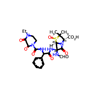 CCN1CCN(C(=O)NC(C(=O)N[C@]2(NC=O)C(=O)N3[C@@H](C(=O)O)C(C)(C)[S+]([O-])[C@@H]32)c2ccccc2)C(=O)C1=O